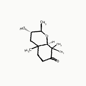 CC1O[C@@H]2C(C)(CCC(=O)C2(C)C)C[C@@H]1O